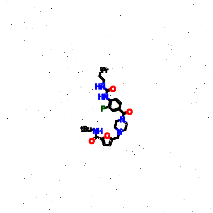 CC(C)CCNC(=O)Nc1ccc(C(=O)N2CCN(Cc3ccc(C(=O)NC(C)(C)C)o3)CC2)cc1F